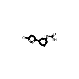 O=C(S)Nc1cccc(-c2ccc(Cl)nn2)c1